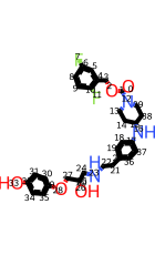 O=C(OCc1cc(F)ccc1F)N1CCC(Nc2ccc(CCNC[C@H](O)COc3ccc(O)cc3)cc2)CC1